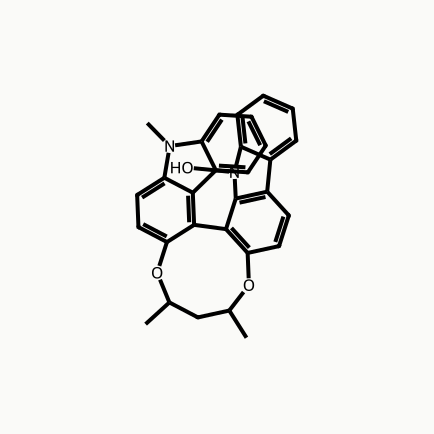 CC1CC(C)Oc2ccc3c4ccccc4n(O)c3c2-c2c(ccc3c2c2ccccc2n3C)O1